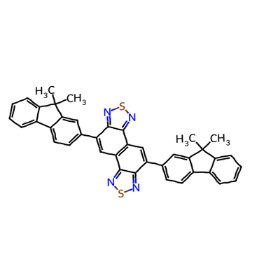 CC1(C)c2ccccc2-c2ccc(-c3cc4c(cc(-c5ccc6c(c5)C(C)(C)c5ccccc5-6)c5nsnc54)c4nsnc34)cc21